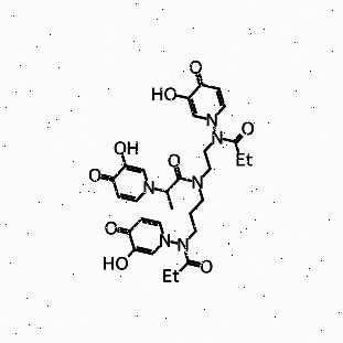 CCC(=O)N(CCCN(CCN(C(=O)CC)n1ccc(=O)c(O)c1)C(=O)C(C)n1ccc(=O)c(O)c1)n1ccc(=O)c(O)c1